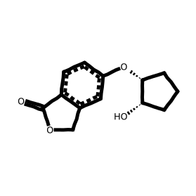 O=C1OCc2cc(O[C@@H]3CCC[C@@H]3O)ccc21